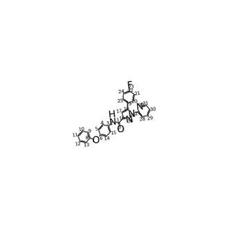 O=C(Nc1ccc(Oc2ccccc2)cc1)c1cc(-c2ccc(F)cc2)n(-c2ccccn2)n1